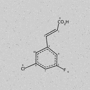 O=C(O)C=Cc1cc(F)cc(Cl)c1